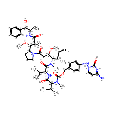 CC[C@H](C)[C@@H]([C@@H](CC(=O)N1CCC[C@H]1[C@H](OC)[C@@H](C)C(=O)N[C@H](C)[C@@H](O)c1ccccc1)OC)N(C)C(=O)[C@@H](NC(=O)[C@H](C(C)C)N(C)C(=O)OCc1ccc(Nn2ccc(N)nc2=O)cc1)C(C)C